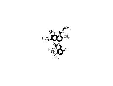 CCOC(=O)N1c2cc(OC)c(OC)cc2[C@@H](N(Cc2cc([S+](C)[O-])ccc2Cl)C(=O)OC)C[C@H]1C